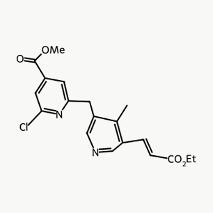 CCOC(=O)/C=C/c1cncc(Cc2cc(C(=O)OC)cc(Cl)n2)c1C